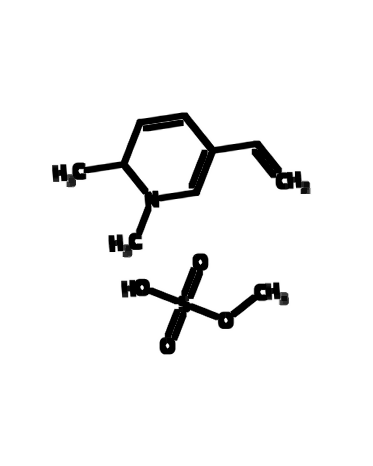 C=CC1=CN(C)C(C)C=C1.COS(=O)(=O)O